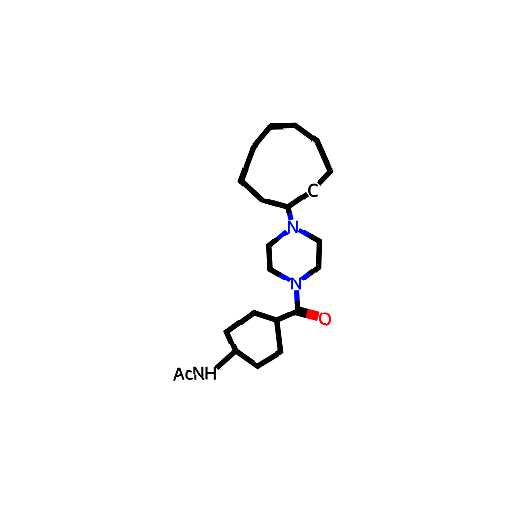 CC(=O)NC1CCC(C(=O)N2CCN(C3CCCCCCCC3)CC2)CC1